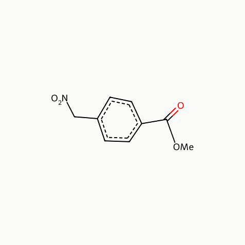 COC(=O)c1ccc(C[N+](=O)[O-])cc1